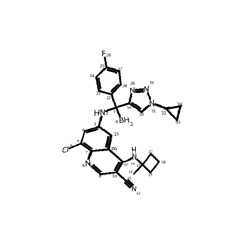 BC(Nc1cc(Cl)c2ncc(C#N)c(NC3(C)CCC3)c2c1)(c1ccc(F)cc1)c1cn(C2CC2)nn1